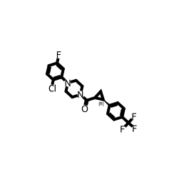 O=C(C1C[C@H]1c1ccc(C(F)(F)F)cc1)N1CCN(c2cc(F)ccc2Cl)CC1